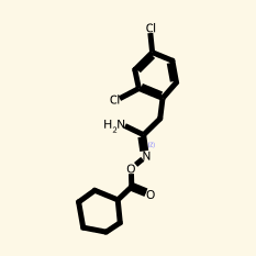 N/C(Cc1ccc(Cl)cc1Cl)=N\OC(=O)C1CCCCC1